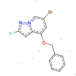 Fc1cc2c(OCc3ccccc3)cc(Br)cn2n1